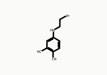 CC(C)CCNc1ccc(C#N)c(C#N)c1